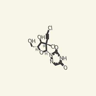 O=c1cnn([C@@H]2O[C@H](CO)C(O)[C@]2(Cl)C#CCl)c(=O)[nH]1